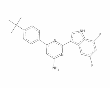 CC(C)(C)c1ccc(-c2cc(N)nc(-c3c[nH]c4c(F)cc(F)cc34)n2)cc1